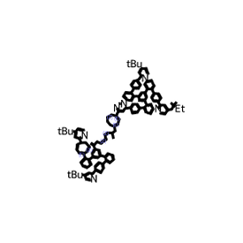 C=C(C/C=C\C=C/C(C)C/C1=C/C=C(c2cc(-c3ccc(-c4ccccc4-c4cc(-c5ccccc5-c5ccc(-c6cc(CC(C)(C)CC)ccn6)cc5)cc(-c5ccccc5-c5ccc(-c6cc(C(C)(C)C)ccn6)cc5)c4)cc3)ncn2)\C=C/CC1)c1cc(-c2ccccc2C2=C/C=CC(c3cc(C(C)(C)C)ccn3)C/C=C\2)cc(-c2ccccc2-c2ccc(-c3cc(C(C)(C)C)ccn3)cc2)c1